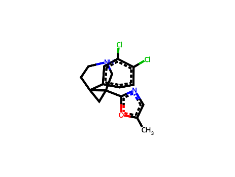 Cc1cnc(C23CNCCC2(c2ccc(Cl)c(Cl)c2)C3)o1